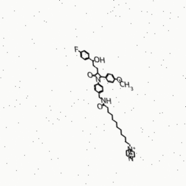 COc1ccc(C2C(CCC(O)c3ccc(F)cc3)C(=O)N2c2ccc(CNC(=O)CCCCCCCCCCC[N+]34CCN(CC3)CC4)cc2)cc1